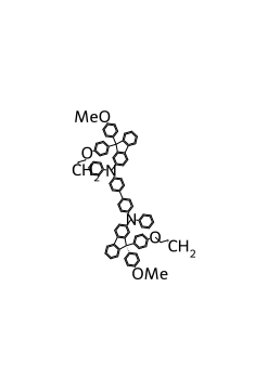 C=CCOc1ccc(C2(c3ccc(OC)cc3)c3ccccc3-c3ccc(N(c4ccccc4)c4ccc(-c5ccc(N(c6ccccc6)c6ccc7c(c6)[C@@](c6ccc(OC)cc6)(c6ccc(OCC=C)cc6)c6ccccc6-7)cc5)cc4)cc32)cc1